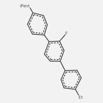 CCCC(C)c1ccc(-c2ccc(-c3ccc(CC)cc3)cc2F)cc1